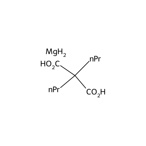 CCCC(CCC)(C(=O)O)C(=O)O.[MgH2]